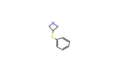 c1ccc(SC2C[N]C2)cc1